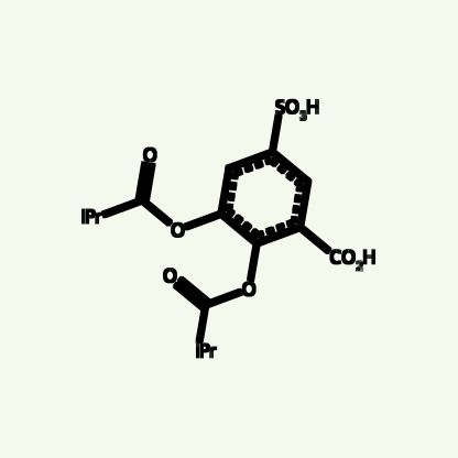 CC(C)C(=O)Oc1cc(S(=O)(=O)O)cc(C(=O)O)c1OC(=O)C(C)C